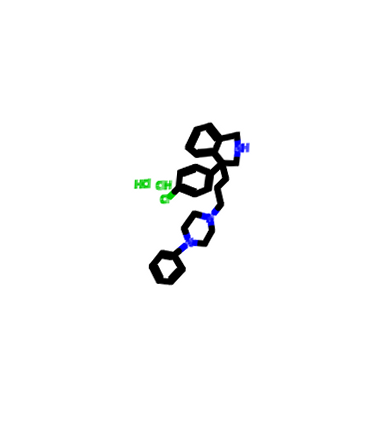 Cl.Cl.Clc1ccc(C2(CCCN3CCN(c4ccccc4)CC3)CNCc3ccccc32)cc1